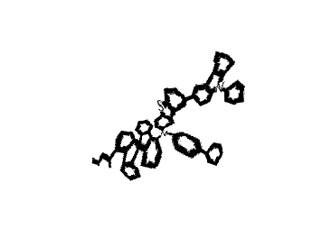 C=C/C=C(\C)c1cccc2c1-c1ccccc1C21c2ccccc2-c2c(N(c3ccc(-c4ccccc4)cc3)c3ccc4sc5ccc(-c6ccc7c(c6)c6ccccc6n7-c6ccccc6)cc5c4c3)cccc21